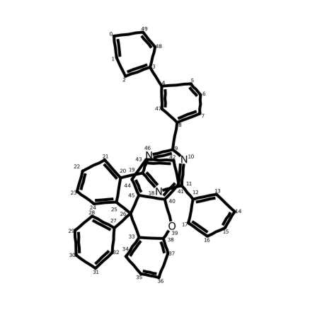 c1ccc(-c2cccc(-c3nc(-c4ccccc4)nc(-c4ccccc4C4(c5ccccc5)c5ccccc5Oc5ccccc54)n3)c2)cc1